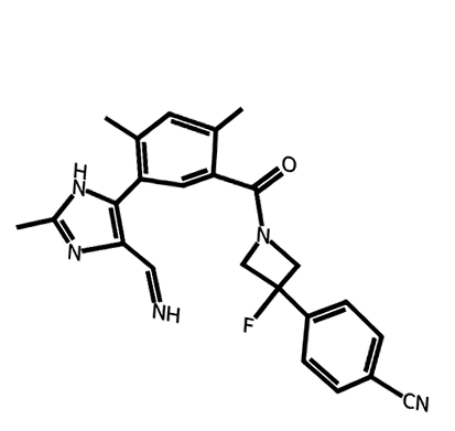 Cc1nc(C=N)c(-c2cc(C(=O)N3CC(F)(c4ccc(C#N)cc4)C3)c(C)cc2C)[nH]1